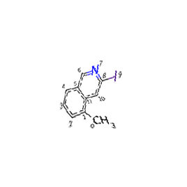 Cc1cccc2cnc(I)cc12